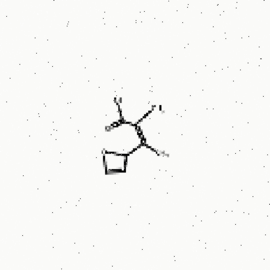 CC(C(=O)O)=C(C)C1C=CO1